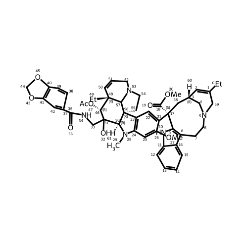 CCC1=C[C@@H]2CN(CCc3c([nH]c4ccccc34)[C@@](C(=O)OC)(c3cc4c(cc3OC)N(C)[C@H]3C(O)(CNC(=O)c5ccc6c(c5)OCO6)[C@H](OC(C)=O)[C@]5(CC)C=CCN6CC[C@]43C65)C2)C1